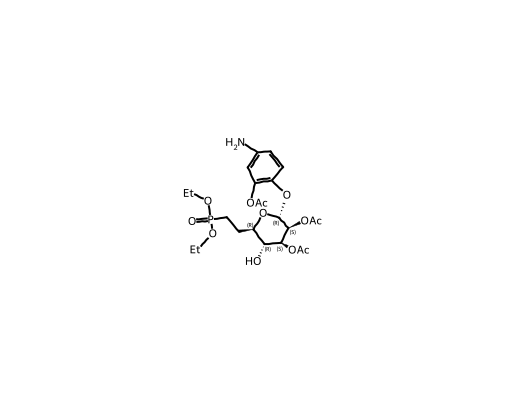 CCOP(=O)(CC[C@H]1O[C@H](Oc2ccc(N)cc2OC(C)=O)[C@@H](OC(C)=O)[C@@H](OC(C)=O)[C@@H]1O)OCC